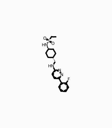 CCS(=O)(=O)N[C@H]1CC[C@H](CNc2ccc(-c3ccccc3F)nn2)CC1